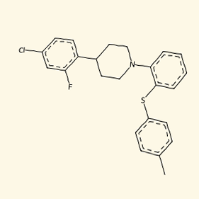 Cc1ccc(Sc2ccccc2N2CCC(c3ccc(Cl)cc3F)CC2)cc1